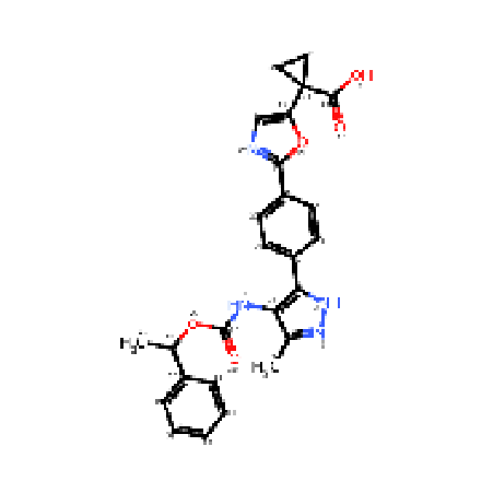 Cc1n[nH]c(-c2ccc(-c3ncc(C4(C(=O)O)CC4)o3)cc2)c1NC(=O)OC(C)c1ccccc1